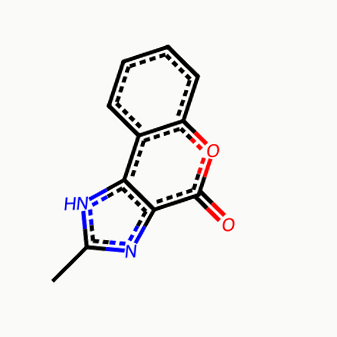 Cc1nc2c(=O)oc3ccccc3c2[nH]1